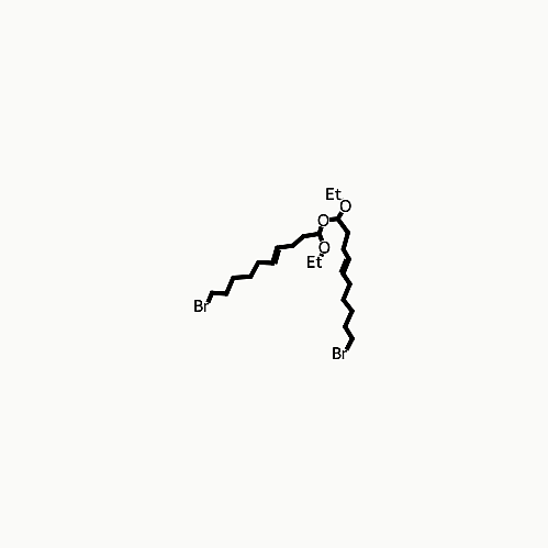 CCOC(CCC=CCCCCCBr)OC(CCC=CCCCCCBr)OCC